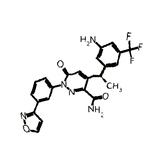 C[C@H](c1cc(N)cc(C(F)(F)F)c1)c1cc(=O)n(-c2cccc(-c3ccon3)c2)nc1C(N)=O